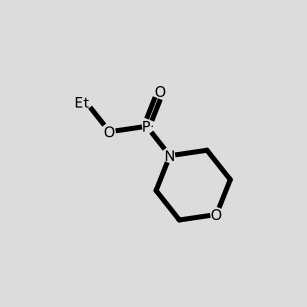 CCO[P](=O)N1CCOCC1